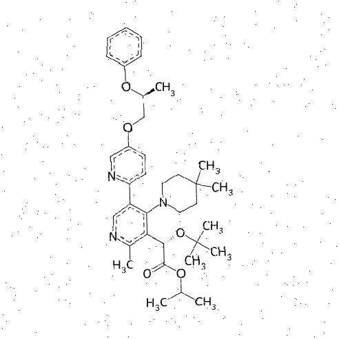 Cc1ncc(-c2ccc(OC[C@H](C)Oc3ccccc3)cn2)c(N2CCC(C)(C)CC2)c1[C@H](OC(C)(C)C)C(=O)OC(C)C